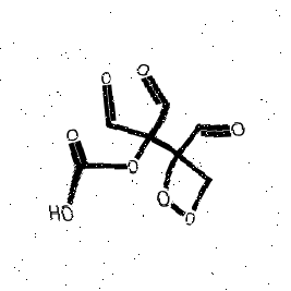 O=CC(C=O)(OC(=O)O)C1(C=O)COO1